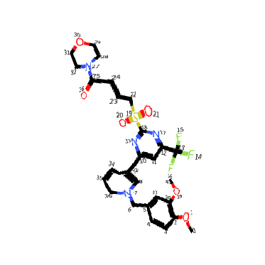 COc1ccc(CN2C=C(c3cc(C(F)(F)F)nc(S(=O)(=O)CCCC(=O)N4CCOCC4)n3)C=CC2)cc1OC